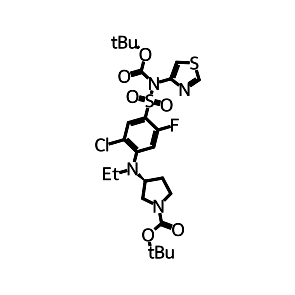 CCN(c1cc(F)c(S(=O)(=O)N(C(=O)OC(C)(C)C)c2cscn2)cc1Cl)[C@H]1CCN(C(=O)OC(C)(C)C)C1